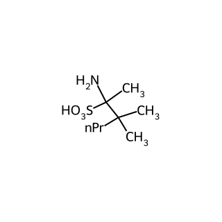 CCCC(C)(C)C(C)(N)S(=O)(=O)O